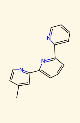 Cc1ccnc(-c2cccc(-c3ccccn3)n2)c1